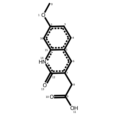 COc1ccc2cc(CC(=O)O)c(=O)[nH]c2c1